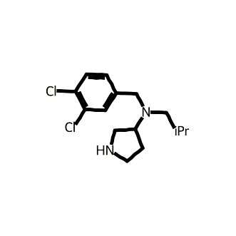 CC(C)CN(Cc1ccc(Cl)c(Cl)c1)C1CCNC1